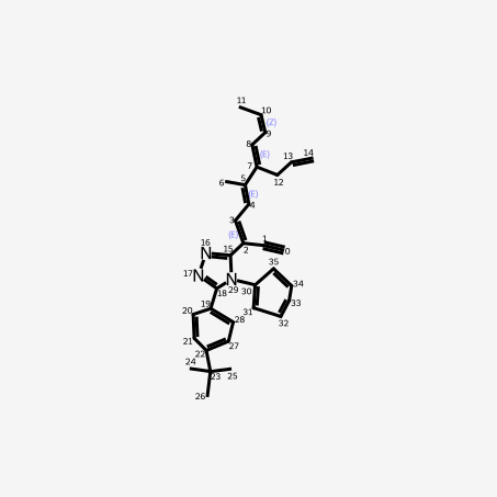 C#C\C(=C/C=C(C)/C(=C/C=C\C)CC=C)c1nnc(-c2ccc(C(C)(C)C)cc2)n1-c1ccccc1